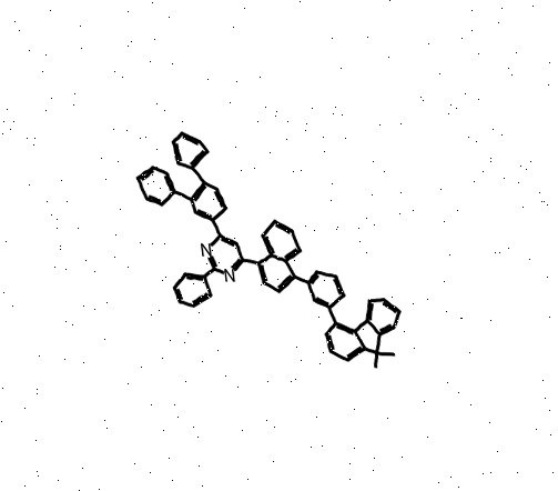 CC1(C)c2ccccc2-c2c(-c3cccc(-c4ccc(-c5cc(-c6ccc(-c7ccccc7)c(-c7ccccc7)c6)nc(-c6ccccc6)n5)c5ccccc45)c3)cccc21